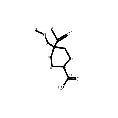 COCC1(C(C)=O)CCC(C(=O)O)CC1